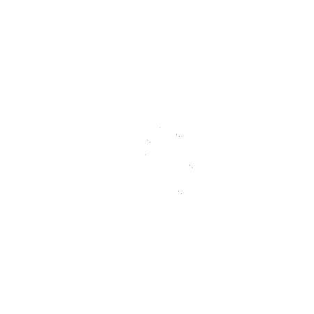 CSc1ncc2c(=O)n(-c3ccccc3)c(=O)[nH]c2n1